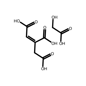 O=C(O)C=C(CC(=O)O)C(=O)O.O=C(O)CO